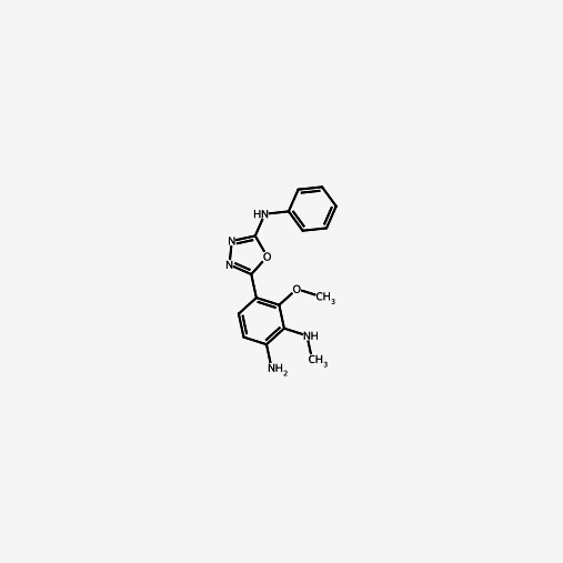 CNc1c(N)ccc(-c2nnc(Nc3ccccc3)o2)c1OC